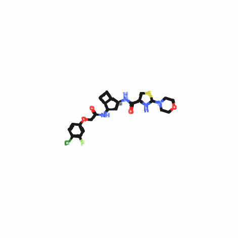 O=C(COc1ccc(Cl)c(F)c1)NC1C[C@H](NC(=O)C2CSC(N3CCOCC3)N2)C2CCC12